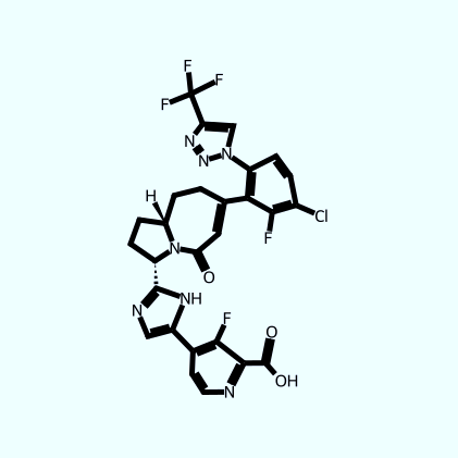 O=C(O)c1nccc(-c2cnc([C@@H]3CC[C@@H]4CCC(c5c(-n6cc(C(F)(F)F)nn6)ccc(Cl)c5F)=CC(=O)N43)[nH]2)c1F